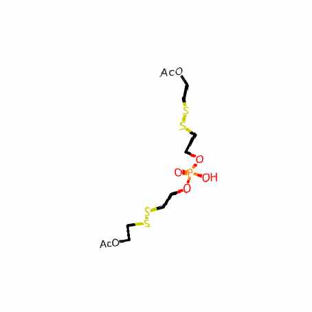 CC(=O)OCCSSCCOP(=O)(O)OCCSSCCOC(C)=O